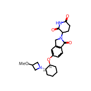 COC1CN([C@H]2CCCC[C@@H]2Oc2ccc3c(c2)CN(C2CCC(=O)NC2=O)C3=O)C1